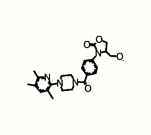 COCC1COC(=O)N1c1ccc(C(=O)N2CCN(c3nc(C)c(C)cc3C)CC2)cc1